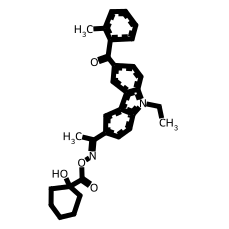 CCn1c2ccc(C(=O)c3ccccc3C)cc2c2cc(/C(C)=N/OC(=O)C3(O)CCCCC3)ccc21